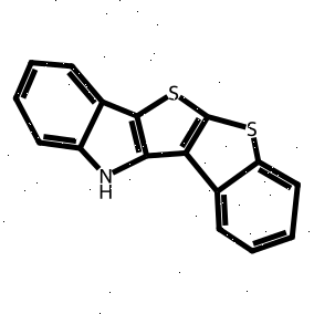 c1ccc2c(c1)[nH]c1c2sc2sc3ccccc3c21